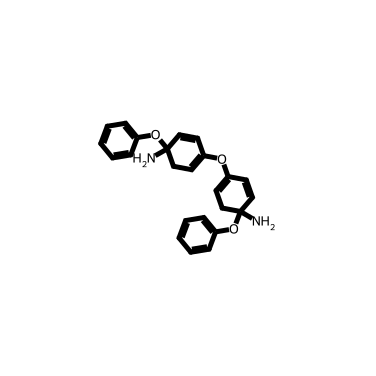 NC1(Oc2ccccc2)C=CC(OC2=CCC(N)(Oc3ccccc3)C=C2)=CC1